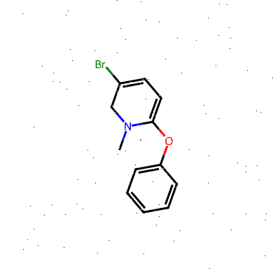 CN1CC(Br)=CC=C1Oc1ccccc1